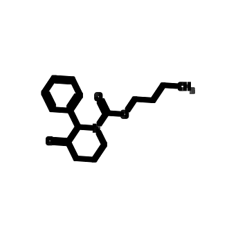 CCCCOC(=O)N1CCCC(=O)C1c1ccccc1